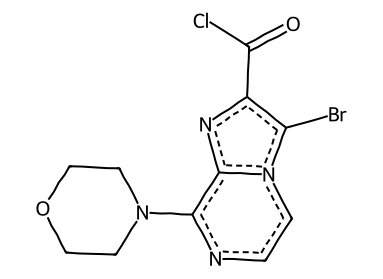 O=C(Cl)c1nc2c(N3CCOCC3)nccn2c1Br